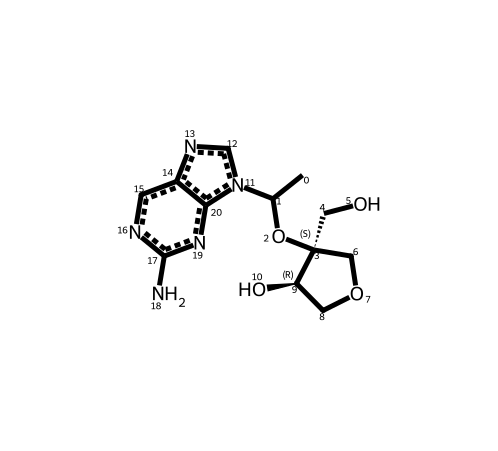 CC(O[C@@]1(CO)COC[C@H]1O)n1cnc2cnc(N)nc21